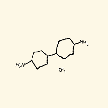 C.NC1CCC(C2CCC(N)CC2)CC1